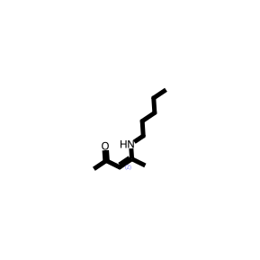 CCCCCN/C(C)=C\C(C)=O